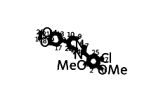 COc1cc(OC)c(-c2cn3ccc(C4=CCC5(CC4)OCCO5)cc3n2)cc1Cl